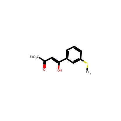 CCOC(=O)C(=O)/C=C(\O)c1cccc(SC(F)(F)F)c1